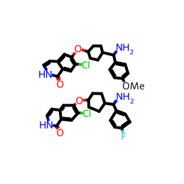 COc1ccc(C(N)C2CCC(Oc3cc4cc[nH]c(=O)c4cc3Cl)CC2)cc1.NC(c1ccc(F)cc1)C1CCC(Oc2cc3cc[nH]c(=O)c3cc2Cl)CC1